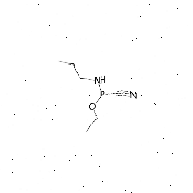 CCCNP(C#N)OCC